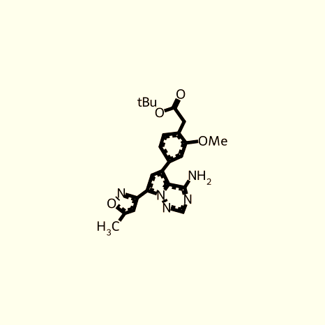 COc1cc(-c2cc(-c3cc(C)on3)n3ncnc(N)c23)ccc1CC(=O)OC(C)(C)C